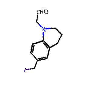 O=CCN1CCCc2cc(CI)ccc21